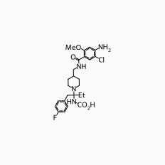 CCC(Cc1ccc(F)cc1)(NC(=O)O)N1CCC(CNC(=O)c2cc(Cl)c(N)cc2OC)CC1